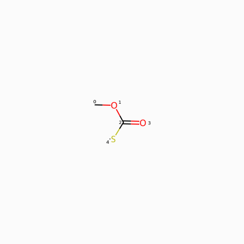 COC(=O)[S]